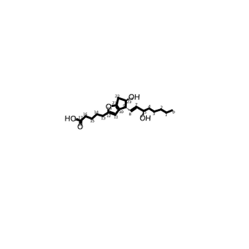 CCCCC[C@@H](O)/C=C/[C@@H]1c2cc(CCCCC(=O)O)oc2C[C@H]1O